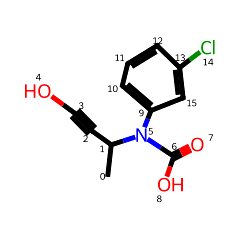 CC(C#CO)N(C(=O)O)c1cccc(Cl)c1